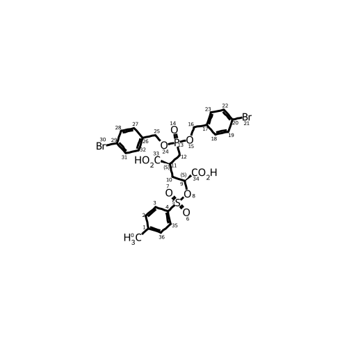 Cc1ccc(S(=O)(=O)O[C@@H](C[C@H](CP(=O)(OCc2ccc(Br)cc2)OCc2ccc(Br)cc2)C(=O)O)C(=O)O)cc1